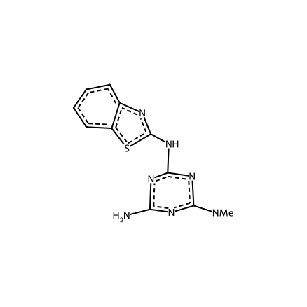 CNc1nc(N)nc(Nc2nc3ccccc3s2)n1